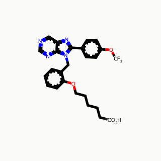 O=C(O)CCCCCOc1ccccc1Cn1c(-c2ccc(OC(F)(F)F)cc2)nc2cncnc21